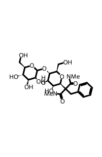 CNC(=O)C(Cc1ccccc1)(C(=O)NC)[C@@H]1O[C@H](CO)[C@@H](OC2O[C@H](CO)[C@@H](O)[C@H](O)[C@H]2O)[C@H](O)[C@H]1O